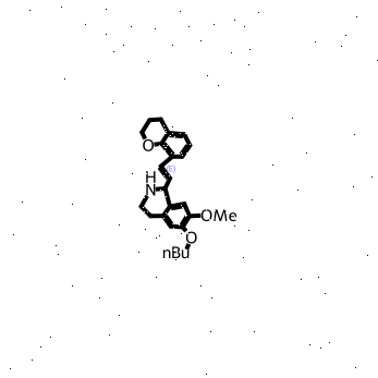 CCCCOc1cc2c(cc1OC)C(/C=C/c1cccc3c1OCCC3)NCC2